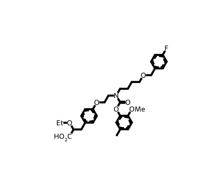 CCOC(Cc1ccc(OCCN(CCCCOCc2ccc(F)cc2)C(=O)Oc2cc(C)ccc2OC)cc1)C(=O)O